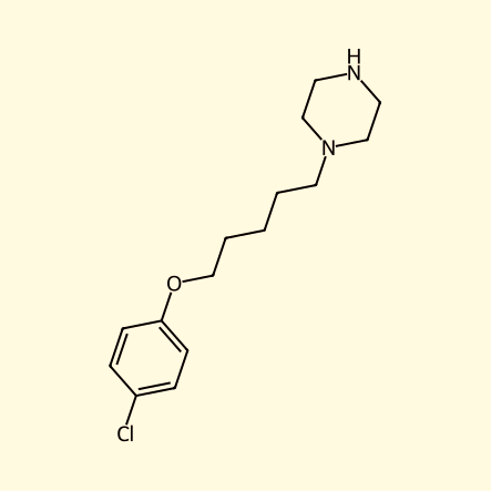 Clc1ccc(OCCCCCN2CCNCC2)cc1